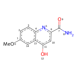 COc1ccc2nc(C(N)=O)cc(O)c2c1